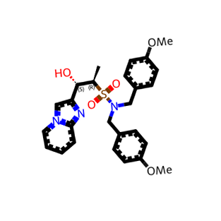 COc1ccc(CN(Cc2ccc(OC)cc2)S(=O)(=O)[C@H](C)[C@@H](O)c2cn3ccccc3n2)cc1